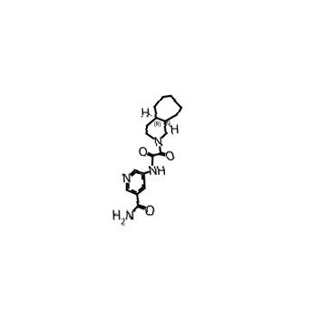 NC(=O)c1cncc(NC(=O)C(=O)N2CC[C@H]3CCCCC[C@H]3C2)c1